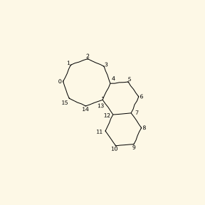 C1CCCC2CCC3CCCCC3[C]2CC1